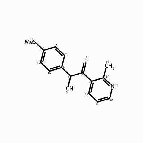 CSc1ccc(C(C#N)C(=O)c2cccnc2C)cc1